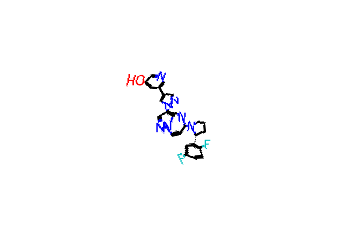 Oc1cncc(-c2cnn(-c3cnn4ccc(N5CCC[C@@H]5c5cc(F)ccc5F)nc34)c2)c1